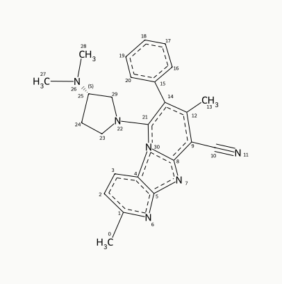 Cc1ccc2c(n1)nc1c(C#N)c(C)c(-c3ccccc3)c(N3CC[C@H](N(C)C)C3)n12